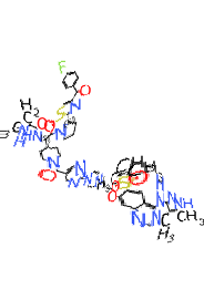 C=C(NC)C(=O)N[C@H](C(=O)N1CCC[C@H]1c1nc(C(=O)c2ccc(F)cc2)cs1)C1CCN(C(=O)c2cnc(N3CCN(CCCOc4cc5ncnc(Nc6n[nH]c(C)c6C)c5cc4S(=O)(=O)C(C)(C)C)CC3)nc2)CC1